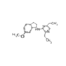 CCc1cnc(CC)c(NC2CCc3ccc(OC)cc32)n1